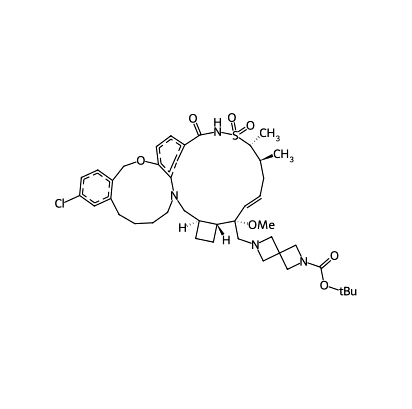 CO[C@@]1(CN2CC3(C2)CN(C(=O)OC(C)(C)C)C3)/C=C/C[C@H](C)[C@@H](C)S(=O)(=O)NC(=O)c2ccc3c(c2)N(CCCCc2cc(Cl)ccc2CO3)C[C@@H]2CC[C@H]21